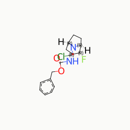 O=C(N[C@@H]1C[C@H]2CC[C@@H]([C@@H]1F)N2CCl)OCc1ccccc1